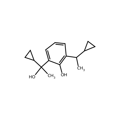 CC(c1cccc(C(C)(O)C2CC2)c1O)C1CC1